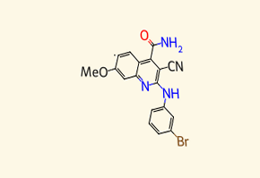 COc1[c]cc2c(C(N)=O)c(C#N)c(Nc3cccc(Br)c3)nc2c1